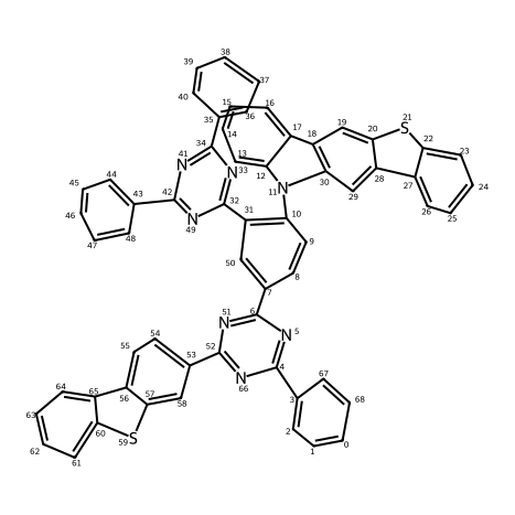 c1ccc(-c2nc(-c3ccc(-n4c5ccccc5c5cc6sc7ccccc7c6cc54)c(-c4nc(-c5ccccc5)nc(-c5ccccc5)n4)c3)nc(-c3ccc4c(c3)sc3ccccc34)n2)cc1